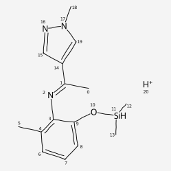 CC(=Nc1c(C)cccc1O[SiH](C)C)c1cnn(C)c1.[H+]